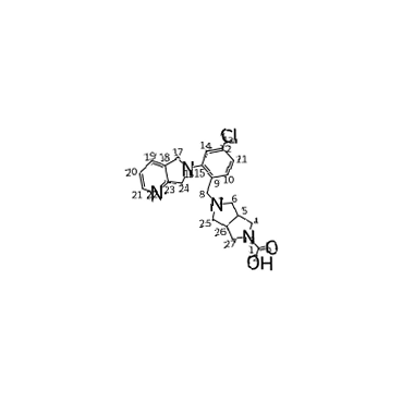 O=C(O)N1CC2CN(Cc3ccc(Cl)cc3N3Cc4cccnc4C3)CC2C1